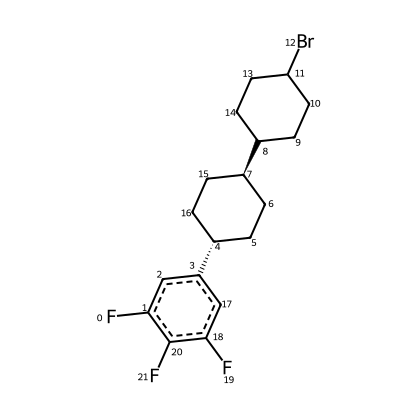 Fc1cc([C@H]2CC[C@H](C3CCC(Br)CC3)CC2)cc(F)c1F